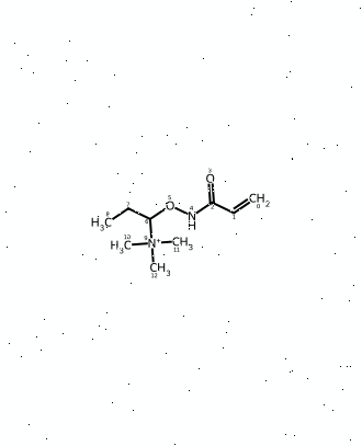 C=CC(=O)NOC(CC)[N+](C)(C)C